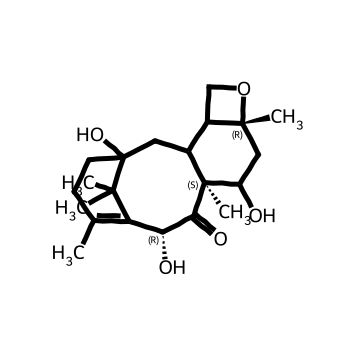 CC1=C2[C@@H](O)C(=O)[C@]3(C)C(O)C[C@@]4(C)OCC4C3CC(O)(CC1)C2(C)C